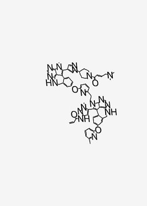 C=CC(=O)Nc1cc(-c2c3c4c(ncnc4n2CCc2cccc(Oc4ccc5c(c4)CNc4ncnc6c4c-5c(-c4cnn(C5CCN(C(=O)/C=C/CN(C)C)CC5)c4)n6C)n2)NCc2cc(Oc4cccc(C)n4)ccc2-3)n(C)n1